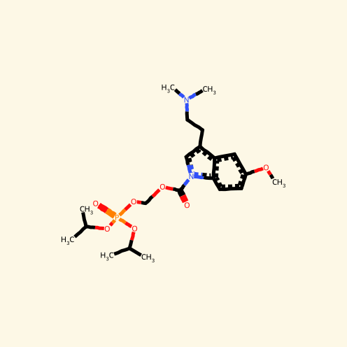 COc1ccc2c(c1)c(CCN(C)C)cn2C(=O)OCOP(=O)(OC(C)C)OC(C)C